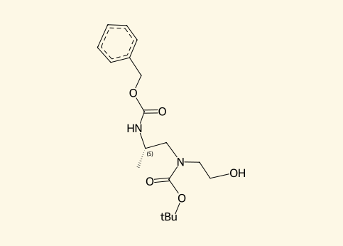 C[C@@H](CN(CCO)C(=O)OC(C)(C)C)NC(=O)OCc1ccccc1